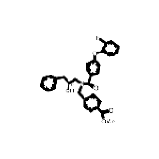 COC(=O)c1ccc(CN(C[C@@H](O)Cc2ccccc2)C(=O)c2ccc(Oc3ccccc3F)cc2)cc1